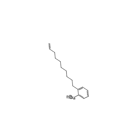 C=CCCCCCCCCc1ccccc1CCCC